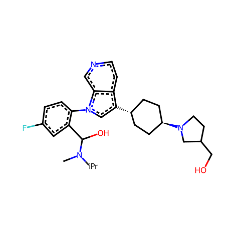 CC(C)N(C)C(O)c1cc(F)ccc1-n1cc([C@H]2CC[C@H](N3CCC(CO)C3)CC2)c2ccncc21